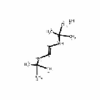 CC(C)(C)NC=CNC(C)(C)C.[LiH]